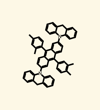 Cc1ccc(-c2c3ccc(N4c5ccccc5Cc5ccccc54)cc3c(-c3ccc(C)c(C)c3)c3ccc(N4c5ccccc5Cc5ccccc54)cc23)c(C)c1